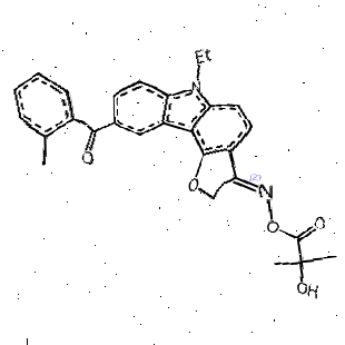 CCn1c2ccc(C(=O)c3ccccc3C)cc2c2c3c(ccc21)/C(=N/OC(=O)C(C)(C)O)CO3